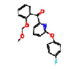 COCOc1ccccc1C(=O)c1cccc(Oc2ccc(F)cc2)n1